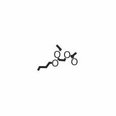 CCCCOC(COC(C)=O)OCC